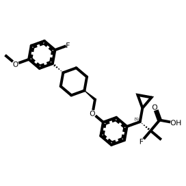 COc1ccc(F)c([C@H]2CC[C@H](COc3cccc([C@H](C4CC4)C(C)(F)C(=O)O)c3)CC2)c1